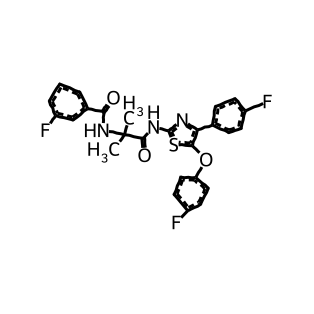 CC(C)(NC(=O)c1cccc(F)c1)C(=O)Nc1nc(-c2ccc(F)cc2)c(Oc2ccc(F)cc2)s1